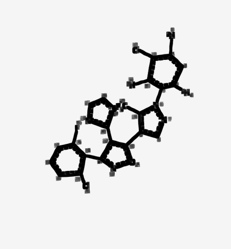 [2H]c1cc([2H])c(-n2ncc(-c3onc(-c4c(F)cccc4Cl)c3-c3nccs3)c2C(F)(F)F)c([2H])c1Cl